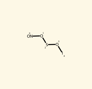 O=NOSOI